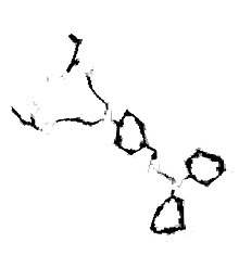 C=CC(=O)OCCN(CCOC(=O)C=C)c1ccc(C=NN(c2ccccc2)c2ccccc2)cc1